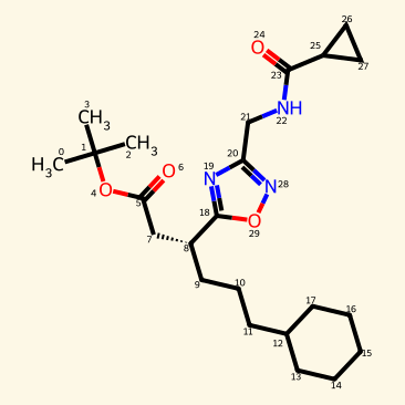 CC(C)(C)OC(=O)C[C@@H](CCCC1CCCCC1)c1nc(CNC(=O)C2CC2)no1